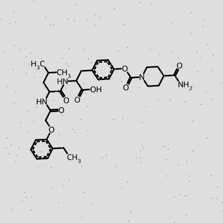 CCc1ccccc1OCC(=O)NC(CC(C)C)C(=O)NC(Cc1ccc(OC(=O)N2CCC(C(N)=O)CC2)cc1)C(=O)O